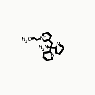 C=CC[n+]1cccc(CC(N)(c2ccccn2)c2ccccn2)c1